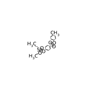 CCCSP(=O)(OCC)Oc1ccc(S(=O)(=O)Oc2ccc(C)cc2)cc1